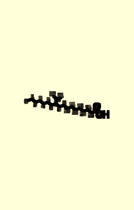 CCCCCCCC(CCCCCCCCCC(=O)O)C(C)C